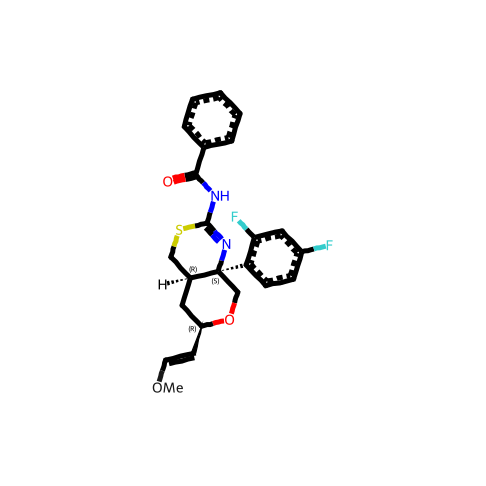 COC=C[C@H]1C[C@H]2CSC(NC(=O)c3ccccc3)=N[C@@]2(c2ccc(F)cc2F)CO1